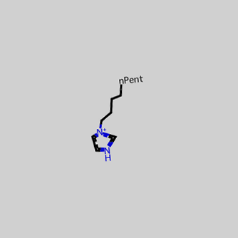 CCCCCCCCC[n+]1cc[nH]c1